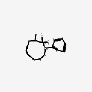 ClC1CCCCCCB(c2ccccc2)C1(Cl)Cl